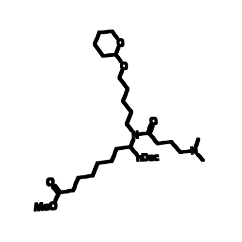 CCCCCCCCCCC(CCCCCCC(=O)OC)N(CCCCCOC1CCCCO1)C(=O)CCCN(C)C